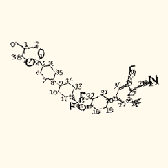 CC1COC(C2CCC(C3CCC(C(F)(F)OC4CCC(c5cc(F)c(C#N)c(F)c5)CC4)CC3)CC2)OC1